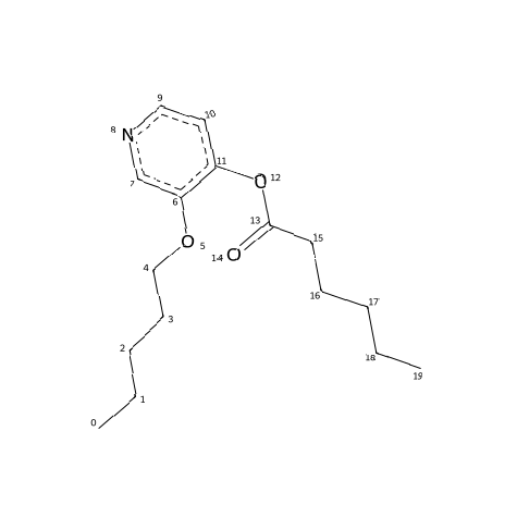 CCCCCOc1cnccc1OC(=O)CCCCC